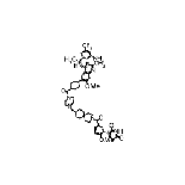 COc1cc2nc(C)nc(N[C@H](C)c3cc(N)cc(C(F)(F)F)c3)c2cc1C1CCC(C(=O)N2CCN(CC3CCC4(CC3)CCN(C(=O)c3ccc(OC)c(-n5ccc(=O)[nH]c5=O)c3)CC4)CC2)CC1